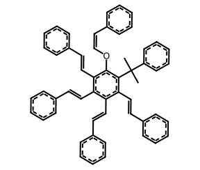 CC(C)(c1ccccc1)c1c(C=Cc2ccccc2)c(C=Cc2ccccc2)c(C=Cc2ccccc2)c(C=Cc2ccccc2)c1OC=Cc1ccccc1